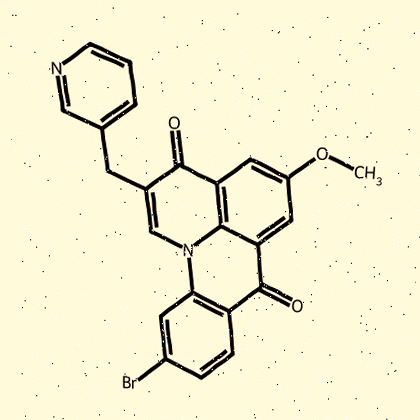 COc1cc2c(=O)c(Cc3cccnc3)cn3c4cc(Br)ccc4c(=O)c(c1)c23